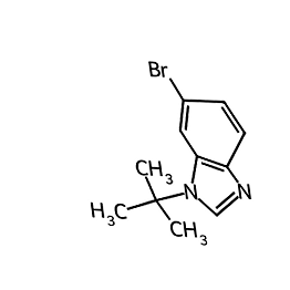 CC(C)(C)n1cnc2ccc(Br)cc21